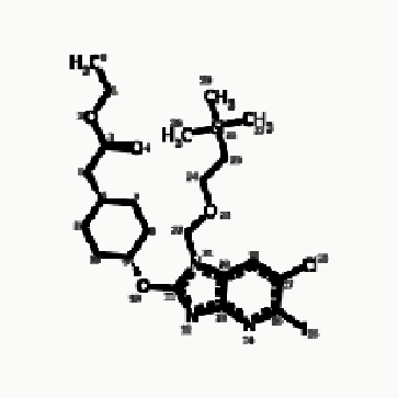 CCOC(=O)C[C@H]1CC[C@H](Oc2nc3nc(I)c(Cl)cc3n2COCC[Si](C)(C)C)CC1